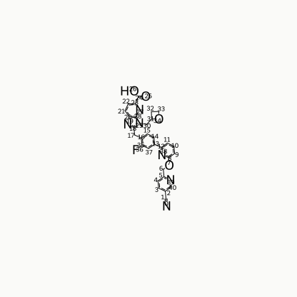 N#Cc1ccc(COc2cccc(-c3ccc(Cc4nc5ccc(C(=O)O)nc5n4CC4CCO4)c(F)c3)n2)nc1